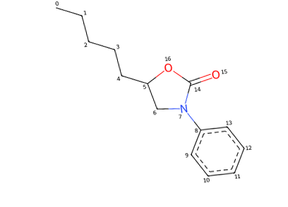 CCCCCC1CN(c2ccccc2)C(=O)O1